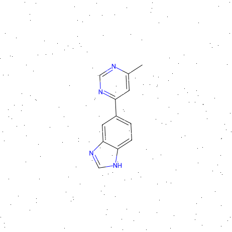 Cc1cc(-c2ccc3[nH]cnc3c2)ncn1